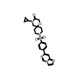 O=C1COC2(CCN(S(=O)(=O)c3ccc(-c4cc5nccn5cn4)cc3)CC2)CN1C1CC1